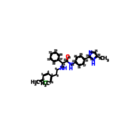 C=C(Cl)/C=C\C(=C/C)CCNC(C(=O)Nc1ccc(-c2ncc(C)[nH]2)cc1)c1ccccc1